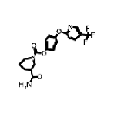 NC(=O)C1CCCN(C(=O)Oc2ccc(Oc3ccc(C(F)(F)F)cn3)cc2)C1